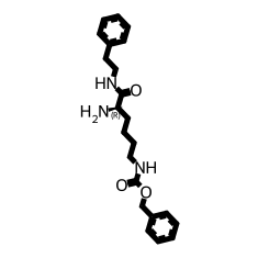 N[C@H](CCCCNC(=O)OCc1ccccc1)C(=O)NCCc1ccccc1